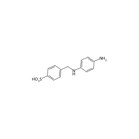 Nc1ccc(NCc2ccc(S(=O)(=O)O)cc2)cc1